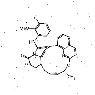 COc1c(F)cccc1Nc1c2cc3n1C(=O)NCC3C/C=C\[C@@H](C)Oc1ccc3nccc-2c3n1